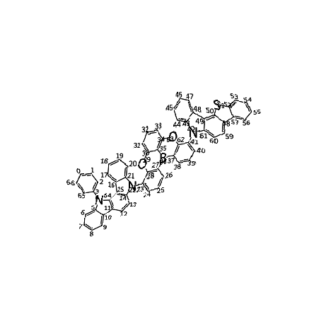 c1ccc(-n2c3ccccc3c3ccc4c(c5ccccc5n4-c4cccc5c4Oc4cccc6c4B5c4cccc(-n5c7ccccc7c7c8sc9ccccc9c8ccc75)c4O6)c32)cc1